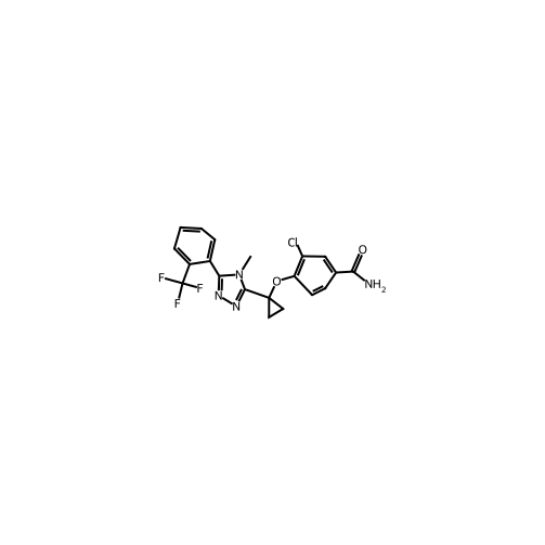 Cn1c(-c2ccccc2C(F)(F)F)nnc1C1(Oc2ccc(C(N)=O)cc2Cl)CC1